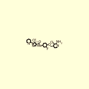 Nc1nccc(COc2ccc(NC(=O)c3cnn(-c4ccccn4)c3C(F)(F)F)cc2F)c1Cl